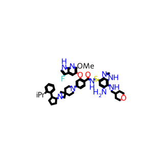 COc1nc2[nH]cc(F)c2cc1Oc1cc(N2CCC3(CC2)CN(C2CCCC2c2ccccc2C(C)C)C3)ccc1C(=O)NSc1cc(N)c(NCC2CCOCC2)c2[nH]cnc12